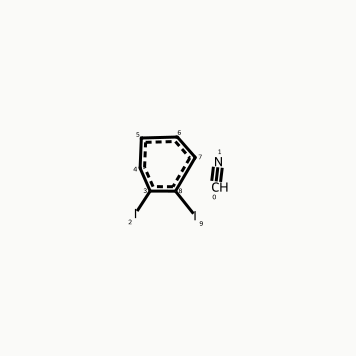 C#N.Ic1ccccc1I